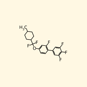 CC1CCC(C(F)(F)Oc2ccc(-c3cc(F)c(F)c(F)c3)c(F)c2)CC1